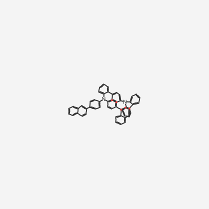 C1=CC2c3ccccc3N(c3ccc(-c4ccccc4N(c4ccc(-c5ccc6ccccc6c5)cc4)c4ccc(-c5cccc6ccccc56)cc4)cc3)C2C=C1